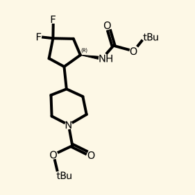 CC(C)(C)OC(=O)N[C@@H]1CC(F)(F)CC1C1CCN(C(=O)OC(C)(C)C)CC1